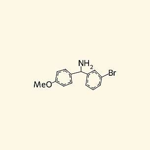 COc1ccc(C(N)c2cccc(Br)c2)cc1